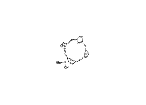 C1=Cc2cc3ccc(cc4nc(cc5ccc(cc1n2)[nH]5)C=C4)[nH]3.CC(C)(C)OO